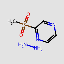 CS(=O)(=O)c1cnccn1.NN